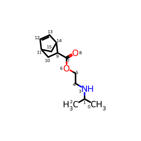 CC(C)NCCOC(=O)C1CC2C=CC1C2